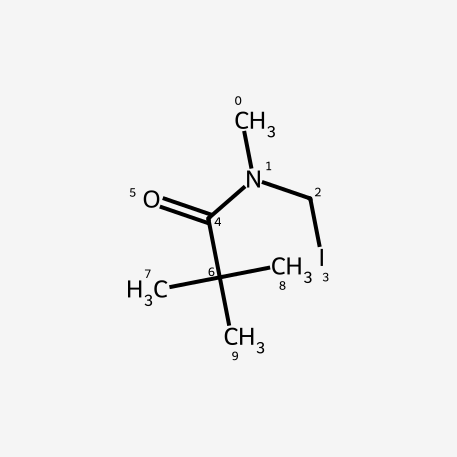 CN(CI)C(=O)C(C)(C)C